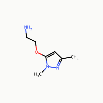 Cc1cc(OCCN)n(C)n1